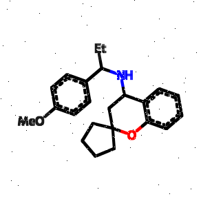 CCC(NC1CC2(CCCC2)Oc2ccccc21)c1ccc(OC)cc1